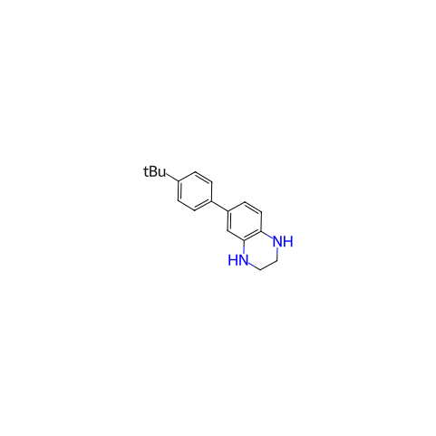 CC(C)(C)c1ccc(-c2ccc3c(c2)NCCN3)cc1